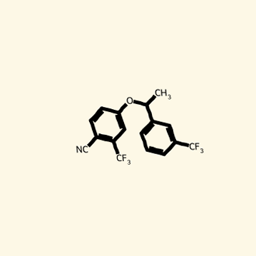 CC(Oc1ccc(C#N)c(C(F)(F)F)c1)c1cccc(C(F)(F)F)c1